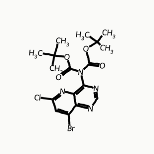 CC(C)(C)OC(=O)N(C(=O)OC(C)(C)C)c1ncnc2c(Br)cc(Cl)nc12